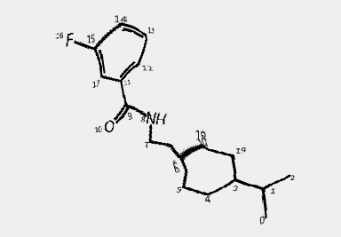 CC(C)C1CCC(CNC(=O)c2cccc(F)c2)CC1